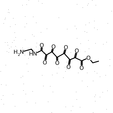 CCOC(=O)C(=O)C(=O)C(=O)C(=O)C(=O)C(=O)C(=O)NCN